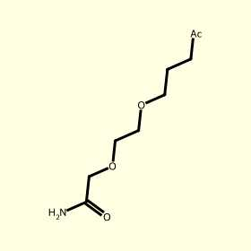 CC(=O)CCCOCCOCC(N)=O